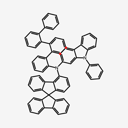 c1ccc(-c2ccccc2-c2ccccc2-c2ccccc2N(c2ccc3c4ccccc4n(-c4ccccc4)c3c2)c2cccc3c2-c2ccccc2C32c3ccccc3-c3ccccc32)cc1